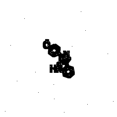 COc1ccc(-c2ncc3n2CNc2ccccc2-3)cc1